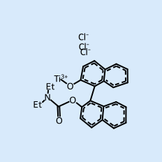 CCN(CC)C(=O)Oc1ccc2ccccc2c1-c1c([O][Ti+3])ccc2ccccc12.[Cl-].[Cl-].[Cl-]